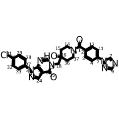 O=C(c1ccc(-n2cncn2)cc1)N1CCC(O)(Cn2cnc3c(cnn3-c3ccc(Cl)cc3)c2=O)CC1